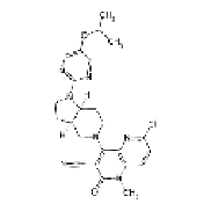 CC(C)Oc1cnc(N2CC[C@@H]3CN(c4c(C#N)c(=O)n(C)c5ccc(Cl)nc45)CC[C@@H]32)nc1